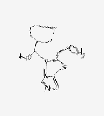 C=Cc1sc2cncn2c1C(O)C1CCCCC1